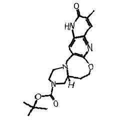 Cc1cc2nc3c(cc2[nH]c1=O)CN1CCN(C(=O)OC(C)(C)C)C[C@H]1CCO3